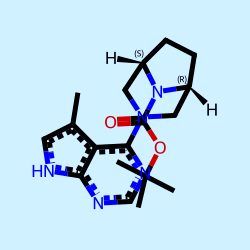 Cc1c[nH]c2ncnc(N3C[C@H]4CC[C@@H](C3)N4C(=O)OC(C)(C)C)c12